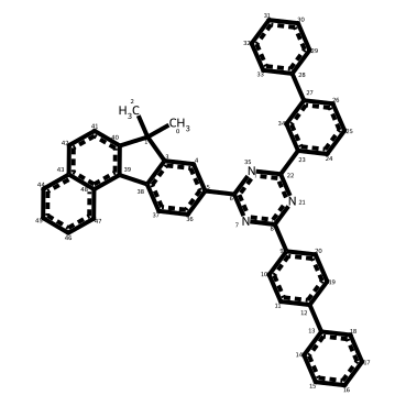 CC1(C)c2cc(-c3nc(-c4ccc(-c5ccccc5)cc4)nc(-c4cccc(-c5ccccc5)c4)n3)ccc2-c2c1ccc1ccccc21